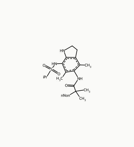 CCCCCCCCCC(C)(C)C(=O)Nc1c(C)c2c(c(NS(=O)(=O)C(C)C)c1C)NCC2